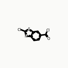 O=C(Cl)c1ccc2nc(Cl)sc2c1